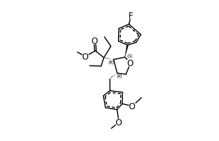 CCC(CC)(C(=O)OC)[C@H]1[C@@H](Cc2ccc(OC)c(OC)c2)CO[C@@H]1c1ccc(F)cc1